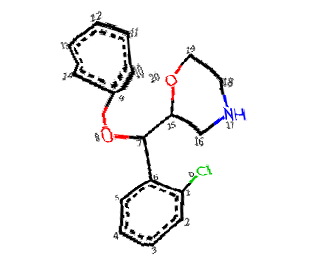 Clc1ccccc1C(Oc1ccccc1)C1CNCCO1